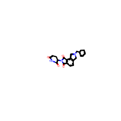 O=C1CCC(N2C(=O)c3ccc4c(c3C2=O)CN(Cc2ccccc2)C4)C(=O)N1